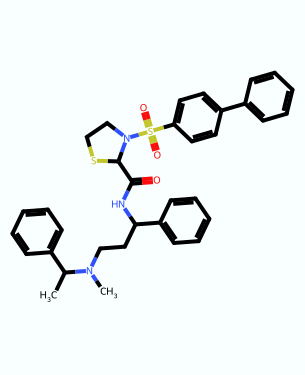 CC(c1ccccc1)N(C)CCC(NC(=O)C1SCCN1S(=O)(=O)c1ccc(-c2ccccc2)cc1)c1ccccc1